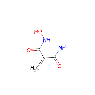 C=C(C([NH])=O)C(=O)NO